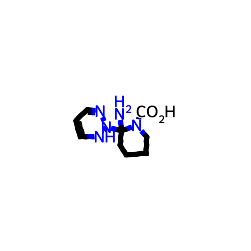 NC1(N2N=CC=CN2)CCCCN1C(=O)O